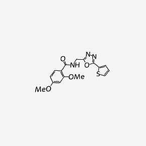 COc1ccc(C(=O)NCc2nnc(-c3cccs3)o2)c(OC)c1